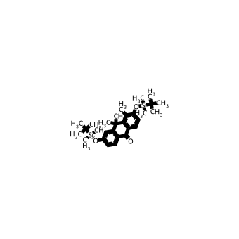 Cc1c(O[Si](C)(C)C(C)(C)C)ccc2c1C(C)(C)c1cc(O[Si](C)(C)C(C)(C)C)ccc1C2=O